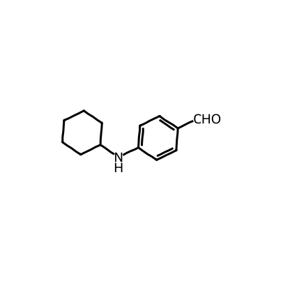 O=Cc1ccc(NC2CCCCC2)cc1